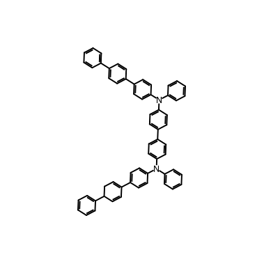 C1=CC(c2ccccc2)CC=C1c1ccc(N(c2ccccc2)c2ccc(-c3ccc(N(c4ccccc4)c4ccc(-c5ccc(-c6ccccc6)cc5)cc4)cc3)cc2)cc1